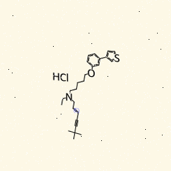 CCN(C/C=C/C#CC(C)(C)C)CCCCCOc1cccc(-c2ccsc2)c1.Cl